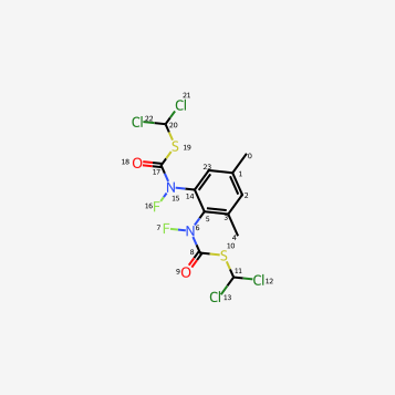 Cc1cc(C)c(N(F)C(=O)SC(Cl)Cl)c(N(F)C(=O)SC(Cl)Cl)c1